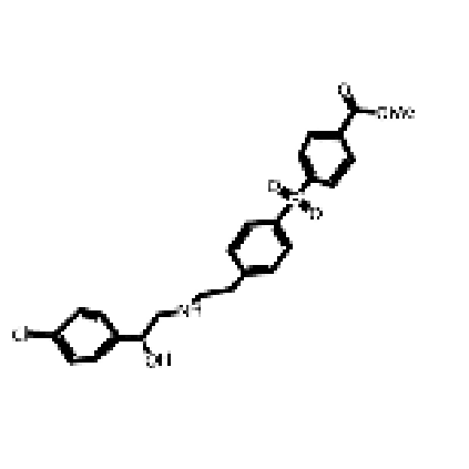 COC(=O)c1ccc(S(=O)(=O)c2ccc(CCNC[C@@H](O)c3ccc(Cl)cc3)cc2)cc1